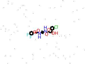 O=C(COc1ccc(F)c(F)c1)NC12CC(NC(=O)[C@H]3C[C@@H](O)c4cc(Cl)ccc4O3)(C1)C2